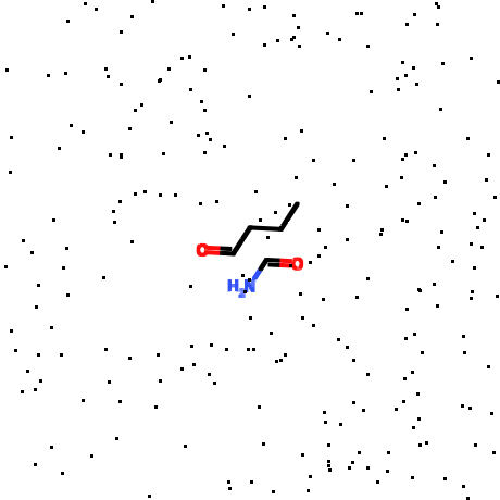 CCCC=O.NC=O